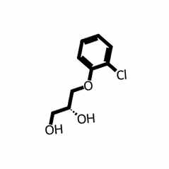 OC[C@@H](O)COc1ccccc1Cl